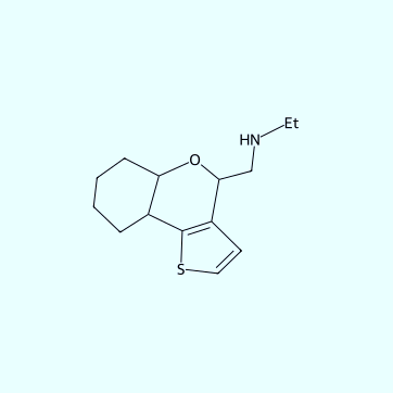 CCNCC1OC2CCCCC2c2sccc21